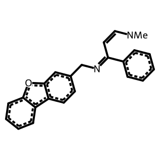 CN/C=C\C(=N/Cc1ccc2c(c1)oc1ccccc12)c1ccccc1